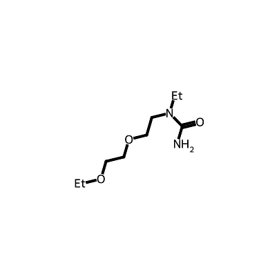 [CH2]CN(CCOCCOCC)C(N)=O